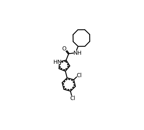 O=C(NC1CCCCCCC1)c1cc(-c2ccc(Cl)cc2Cl)c[nH]1